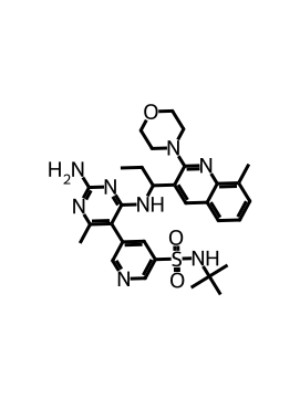 CCC(Nc1nc(N)nc(C)c1-c1cncc(S(=O)(=O)NC(C)(C)C)c1)c1cc2cccc(C)c2nc1N1CCOCC1